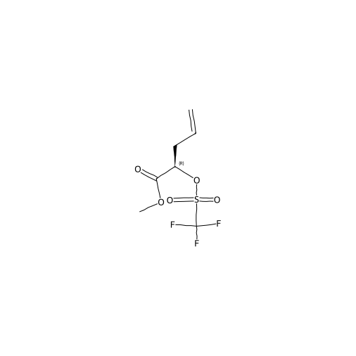 C=CC[C@@H](OS(=O)(=O)C(F)(F)F)C(=O)OC